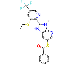 CCSc1cc(C(F)(F)F)cnc1C1Nc2cc(SC(=O)c3ccccc3)cnc2N1C